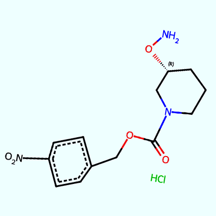 Cl.NO[C@@H]1CCCN(C(=O)OCc2ccc([N+](=O)[O-])cc2)C1